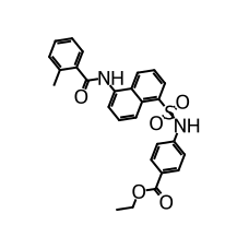 CCOC(=O)c1ccc(NS(=O)(=O)c2cccc3c(NC(=O)c4ccccc4C)cccc23)cc1